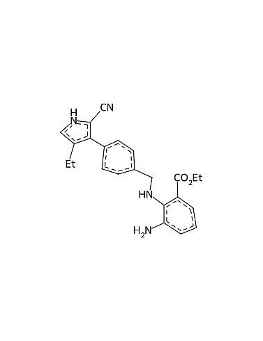 CCOC(=O)c1cccc(N)c1NCc1ccc(-c2c(CC)c[nH]c2C#N)cc1